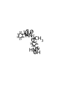 C[C@@H](CNC(=O)c1nc(-c2ccccc2)cs1)Oc1ccc(C(=S)NO)cc1